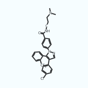 CN(C)CCCNC(=O)c1ccc(-n2ncc(-c3ccc(Cl)cc3)c2-c2ccccc2C(F)(F)F)cc1